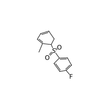 CC1=CC=CCC1S(=O)(=O)c1ccc(F)cc1